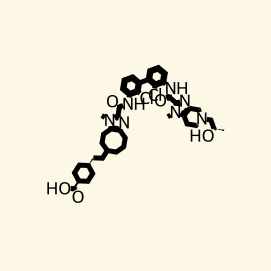 C[C@H](O)CN1CCc2c(nc(C(=O)Nc3cccc(-c4cccc(NC(=O)c5nc6c(n5C)CCC(CC[C@H]5CC[C@H](C(=O)O)CC5)CCC6)c4Cl)c3Cl)n2C)C1